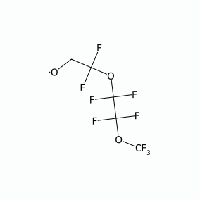 [O]CC(F)(F)OC(F)(F)C(F)(F)OC(F)(F)F